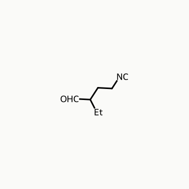 [C-]#[N+]CCC(C=O)CC